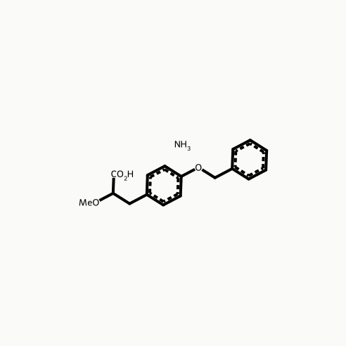 COC(Cc1ccc(OCc2ccccc2)cc1)C(=O)O.N